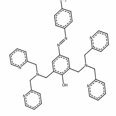 O=[N+]([O-])c1ccc(/N=N/c2cc(CN(Cc3ccccn3)Cc3ccccn3)c(O)c(CN(Cc3ccccn3)Cc3ccccn3)c2)cc1